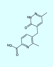 Cc1cc(Cc2ccc(C(=O)O)nc2C)c(=O)[nH]n1